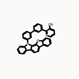 N#Cc1cccnc1-c1cccc(-c2cccc(-n3c4ccccc4c4ccc5c6ccccc6oc5c43)c2)c1